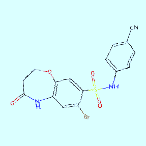 N#Cc1ccc(NS(=O)(=O)c2cc3c(cc2Br)NC(=O)CCO3)cc1